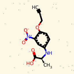 C#CCOc1ccc(N[C@@H](C)C(=O)O)cc1[N+](=O)[O-]